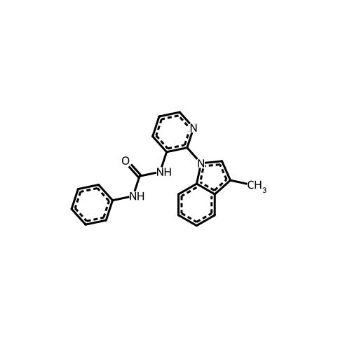 Cc1cn(-c2ncccc2NC(=O)Nc2ccccc2)c2ccccc12